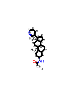 CC(=O)N[C@@H]1CC[C@@]2(C)C(CCC3C2CC[C@]2(C)C(c4cccnc4)=CCC32)C1